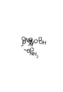 C=CCOc1ccccc1N.C=CCOc1ccccc1N/C=C1\C(=O)N(c2ccc(C(=O)O)cc2)N=C1C